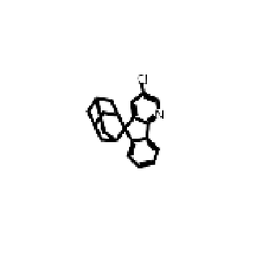 Clc1cnc2c(c1)C1(c3ccccc3-2)C2CC3CC(C2)CC1C3